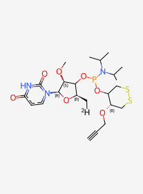 [2H]C[C@H]1O[C@@H](n2ccc(=O)[nH]c2=O)[C@@H](OC)C1OP(OC1CSSC[C@@H]1OCC#C)N(C(C)C)C(C)C